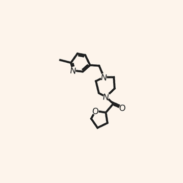 Cc1ccc(CN2CCN(C(=O)C3CCCO3)CC2)cn1